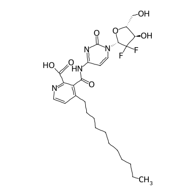 CCCCCCCCCCCc1ccnc(C(=O)O)c1C(=O)Nc1ccn([C@@H]2O[C@H](CO)[C@@H](O)C2(F)F)c(=O)n1